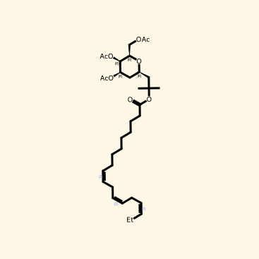 CC/C=C\C/C=C\C/C=C\CCCCCCCC(=O)OC(C)(C)C[C@H]1C[C@@H](OC(C)=O)[C@@H](OC(C)=O)[C@@H](COC(C)=O)O1